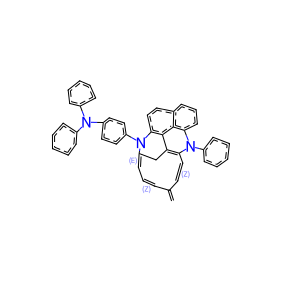 C=C1/C=C\C=C2/CC3=C(/C=C\1)N(c1ccccc1)c1cccc4ccc(c3c14)N2c1ccc(N(c2ccccc2)c2ccccc2)cc1